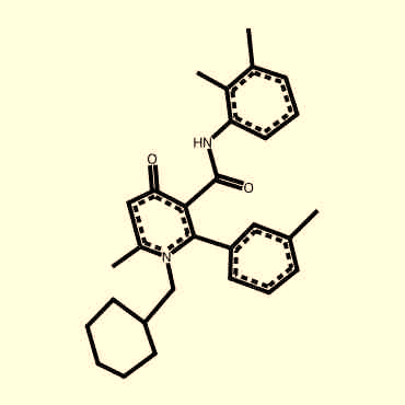 Cc1cccc(-c2c(C(=O)Nc3cccc(C)c3C)c(=O)cc(C)n2CC2CCCCC2)c1